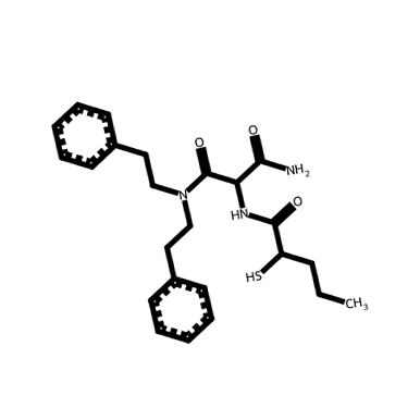 CCCC(S)C(=O)NC(C(N)=O)C(=O)N(CCc1ccccc1)CCc1ccccc1